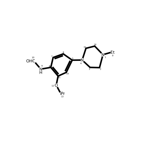 CCN1CCN(c2ccc(NC=O)c(OC(C)C)c2)CC1